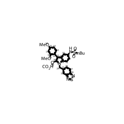 CCCCS(=O)(=O)Nc1ccc2c(c1)c(-c1ccc(OC)cc1OC)c(OC(=O)O)n2Cc1ccc2nsnc2c1